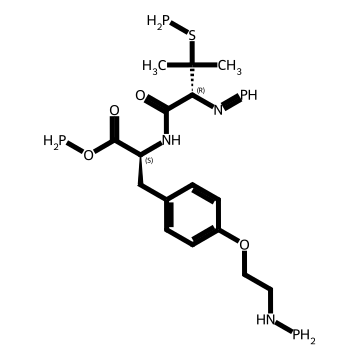 CC(C)(SP)[C@H](N=P)C(=O)N[C@@H](Cc1ccc(OCCNP)cc1)C(=O)OP